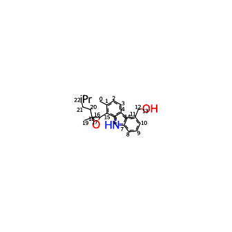 Cc1ccc2c([nH]c3cccc(CO)c32)c1C1OC1(C)CCC(C)C